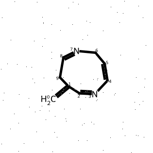 C=C1/C=N\C=C/C/N=C\C1